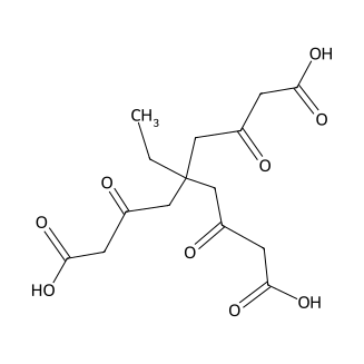 CCC(CC(=O)CC(=O)O)(CC(=O)CC(=O)O)CC(=O)CC(=O)O